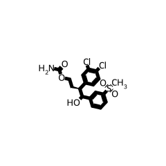 CS(=O)(=O)c1cccc(C(O)[C@@H](CCOC(N)=O)c2ccc(Cl)c(Cl)c2)c1